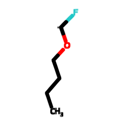 CCCCO[CH]F